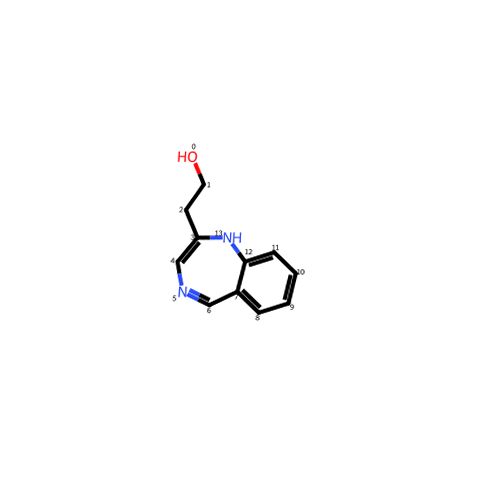 OCCC1=CN=Cc2ccccc2N1